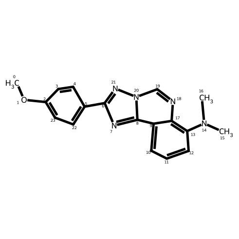 COc1ccc(-c2nc3c4cccc(N(C)C)c4ncn3n2)cc1